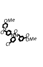 COC(=O)c1cccc(Cn2c(=O)n(-c3ccc(C(=O)N4CCC(OC)CC4)cc3)c3cc(Cl)ccc32)c1